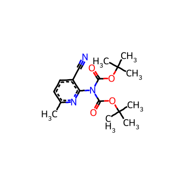 Cc1ccc(C#N)c(N(C(=O)OC(C)(C)C)C(=O)OC(C)(C)C)n1